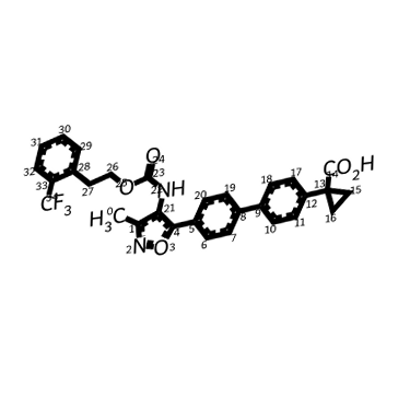 Cc1noc(-c2ccc(-c3ccc(C4(C(=O)O)CC4)cc3)cc2)c1NC(=O)OCCc1ccccc1C(F)(F)F